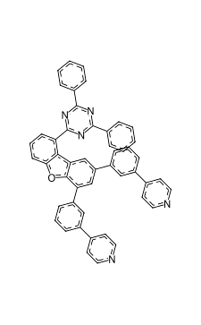 c1ccc(-c2nc(-c3ccccc3)nc(-c3cccc4oc5c(-c6cccc(-c7ccncc7)c6)cc(-c6cccc(-c7ccncc7)c6)cc5c34)n2)cc1